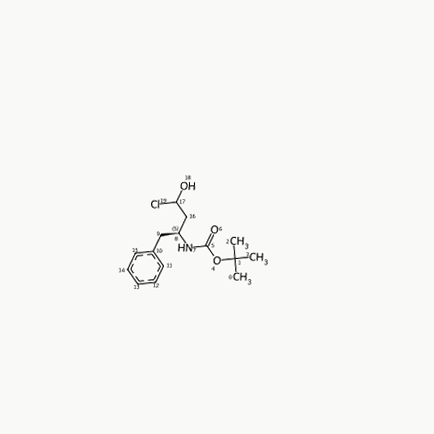 CC(C)(C)OC(=O)N[C@@H](Cc1ccccc1)CC(O)Cl